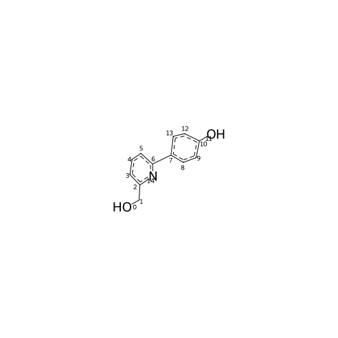 OCc1cccc(-c2ccc(O)cc2)n1